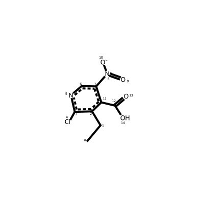 CCc1c(Cl)ncc([N+](=O)[O-])c1C(=O)O